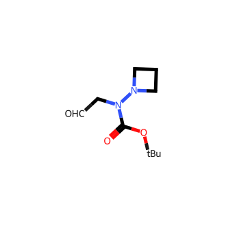 CC(C)(C)OC(=O)N(CC=O)N1CCC1